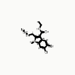 CCOC(=O)c1c(CN=[N+]=[N-])n(C)c2cc(Cl)c(Br)cc12